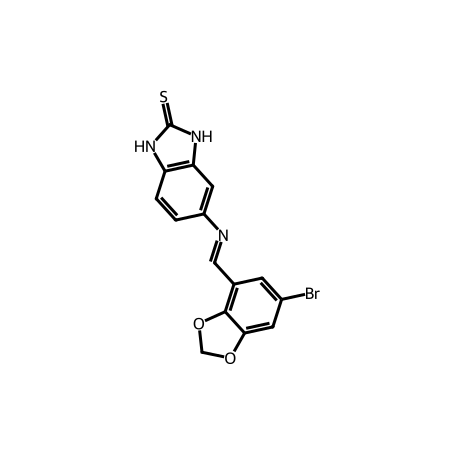 S=c1[nH]c2ccc(N=Cc3cc(Br)cc4c3OCO4)cc2[nH]1